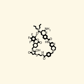 CCCN(CCC)C(=O)C1=Cc2ccc(C(=O)Nc3cnc4c(c3)CN(Cc3ccc(C(=O)NCCSC5CC(=O)N(CC6CCC(C(=O)Oc7c(F)c(F)c(F)c(F)c7F)CC6)C5O)cc3)CC4)cc2N=C(N)C1